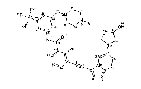 Cc1c(C#Cc2cnc3ccc(N4CCC(O)C4)nn23)cccc1C(=O)Nc1cc(CN2CCN(C)CC2)cc(C(F)(F)F)c1